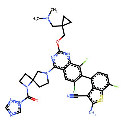 CN(C)CC1(COc2nc(N3CCC4(CCN4C(=O)n4cncn4)C3)c3cc(Cl)c(-c4ccc(F)c5sc(N)c(C#N)c45)c(F)c3n2)CC1